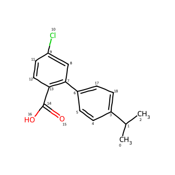 CC(C)c1ccc(-c2cc(Cl)ccc2C(=O)O)cc1